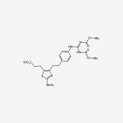 CCOC(=O)CCc1sc(NC(C)=O)nc1CCc1ccc(N/C(=N/C(=O)OC(C)(C)C)NC(=O)OC(C)(C)C)cc1